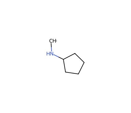 [CH]NC1CCCC1